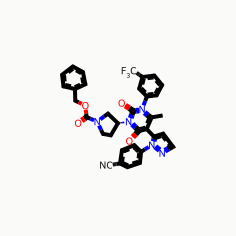 Cc1c(-c2ccnn2-c2ccc(C#N)cc2)c(=O)n([C@@H]2CCN(C(=O)OCc3ccccc3)C2)c(=O)n1-c1cccc(C(F)(F)F)c1